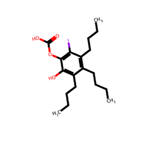 CCCCc1c(O)c(OC(=O)O)c(I)c(CCCC)c1CCCC